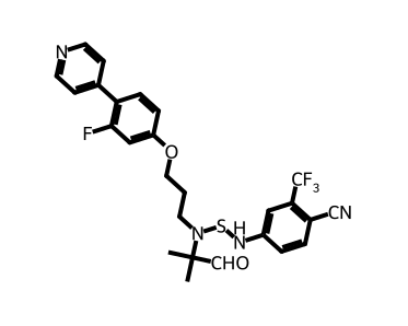 CC(C)(C=O)N(CCCOc1ccc(-c2ccncc2)c(F)c1)SNc1ccc(C#N)c(C(F)(F)F)c1